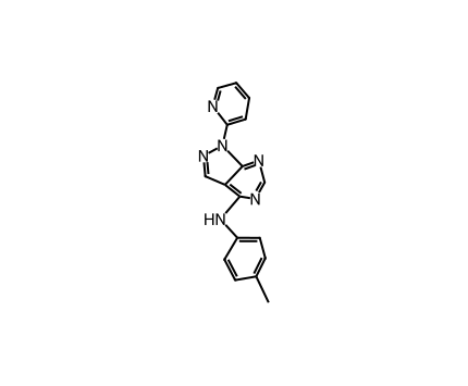 Cc1ccc(Nc2ncnc3c2cnn3-c2ccccn2)cc1